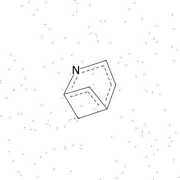 [CH]1c2ccnc1c2